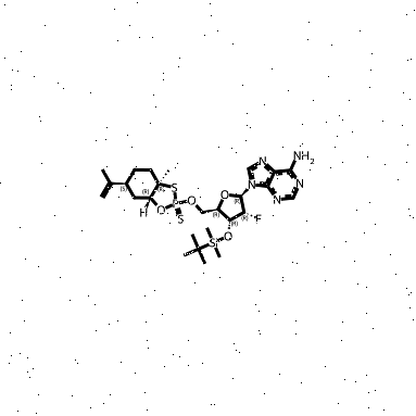 C=C(C)[C@H]1CC[C@@]2(C)SP(=S)(OC[C@H]3O[C@@H](n4cnc5c(N)ncnc54)[C@H](F)[C@@H]3O[Si](C)(C)C(C)(C)C)O[C@@H]2C1